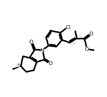 COC(=O)/C(C)=C/c1cc(N2C(=O)C3=C(C[C@H](C)CC3)C2=O)ccc1Cl